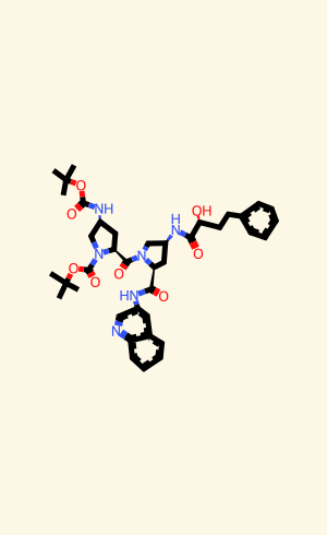 CC(C)(C)OC(=O)N[C@@H]1C[C@@H](C(=O)N2C[C@@H](NC(=O)[C@H](O)CCc3ccccc3)C[C@H]2C(=O)Nc2cnc3ccccc3c2)N(C(=O)OC(C)(C)C)C1